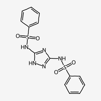 O=S(=O)(Nc1n[nH]c(NS(=O)(=O)c2ccccc2)n1)c1ccccc1